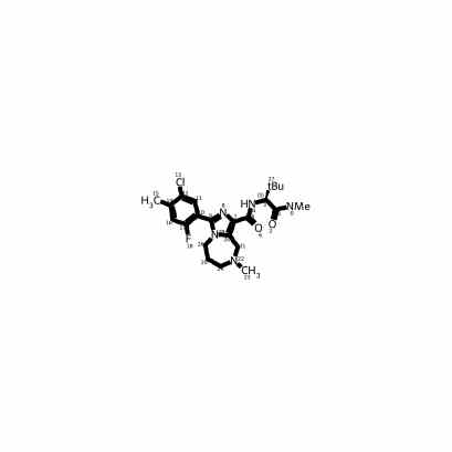 CNC(=O)[C@@H](NC(=O)c1nc(-c2cc(Cl)c(C)cc2F)n2c1CN(C)CCC2)C(C)(C)C